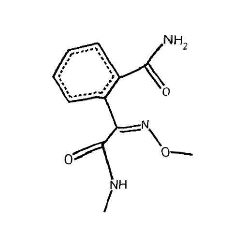 CNC(=O)/C(=N\OC)c1ccccc1C(N)=O